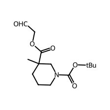 CC(C)(C)OC(=O)N1CCCC(C)(C(=O)OCC=O)C1